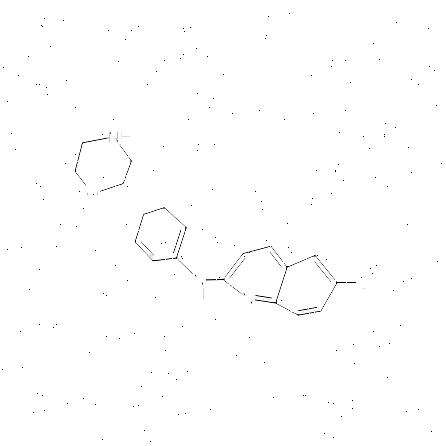 Clc1ccc2nc(NC3=CCC([C@H]4CNCCO4)C=C3)ccc2c1